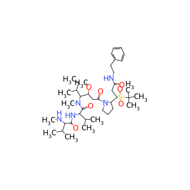 CCC(C)C(C(CC(=O)N1CCCC1C(CC(=O)NCCc1ccccc1)S(=O)(=O)C(C)(C)C)OC)N(C)C(=O)C(NC(=O)C(NC)C(C)C)C(C)C